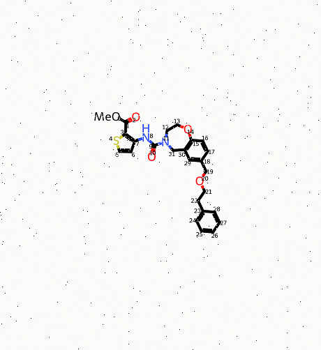 COC(=O)c1sccc1NC(=O)N1CCOc2ccc(COCCc3ccccc3)cc2C1